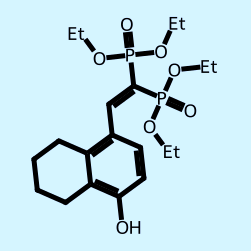 CCOP(=O)(OCC)C(=Cc1ccc(O)c2c1CCCC2)P(=O)(OCC)OCC